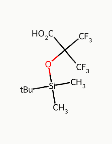 CC(C)(C)[Si](C)(C)OC(C(=O)O)(C(F)(F)F)C(F)(F)F